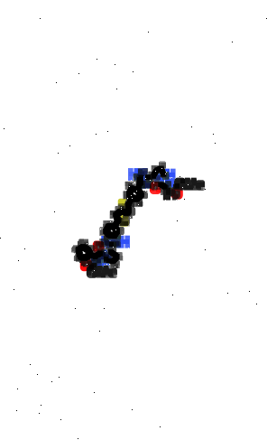 COC(=O)N[C@H](C(=O)N1CCC[C@H]1c1nc(-c2ccc(-c3cc4sc(-c5ccc6nc([C@@H]7CCCN7C(=O)[C@H](NC(=O)OC)c7ccccc7)[nH]c6c5)cc4s3)cc2)c[nH]1)C(C)C